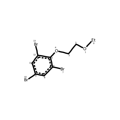 [CH2]COCCOc1c(Br)cc(Br)cc1Br